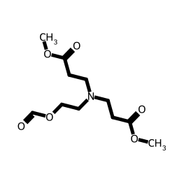 COC(=O)CCN(CCOC=O)CCC(=O)OC